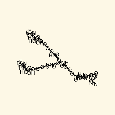 CC1(C)C(=O)c2ccc(-c3cnc(N4CCN5C(=O)N(CCOCCOCCOCC(=O)NC(COCCC(=O)NCCOCCOCCOCCOC[C@H]6OC[C@H](Nc7cncc(C(F)(F)F)n7)[C@@H](O)[C@H]6O)COCCC(=O)NCCOCCOCCOCCOC[C@H]6OC[C@H](Nc7cncc(C(F)(F)F)n7)[C@@H](O)[C@H]6O)C[C@@H]5C4)nc3)nc2N1Cc1cccnc1C#N